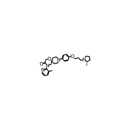 Cc1cccnc1N1CC2(CCN(c3ccc(OCCCN4CCC[C@H]4C)cc3)CC2)OCC1=O